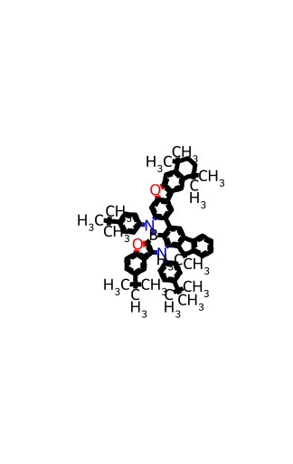 CC(C)(C)c1ccc(N2B3c4oc5ccc(C(C)(C)C)cc5c4N(c4ccc(C(C)(C)C)cc4)c4c3c(cc3c4C(C)(C)c4ccccc4-3)-c3cc4c(cc32)oc2cc3c(cc24)C(C)(C)CCC3(C)C)cc1